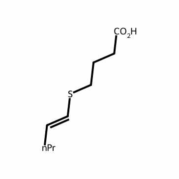 CCCC=CSCCCC(=O)O